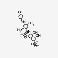 Cc1cc(/N=N/c2c(S(=O)(=O)O)cc3cc(S(=O)(=O)O)cc(O)c3c2O)c(C)cc1/N=N/c1ccc(O)cc1